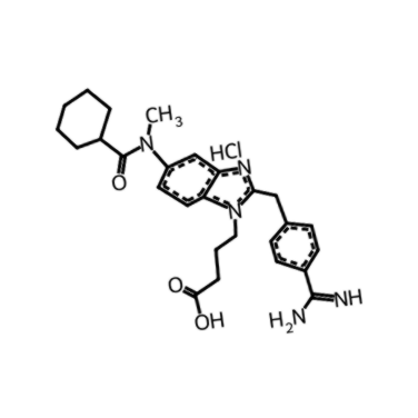 CN(C(=O)C1CCCCC1)c1ccc2c(c1)nc(Cc1ccc(C(=N)N)cc1)n2CCCC(=O)O.Cl